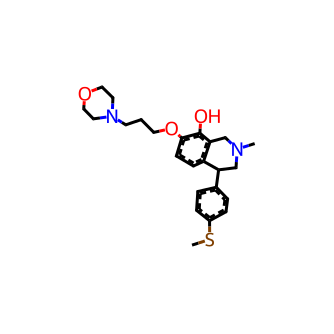 CSc1ccc(C2CN(C)Cc3c2ccc(OCCCN2CCOCC2)c3O)cc1